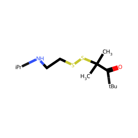 CC(C)NCCSSC(C)(C)C(=O)C(C)(C)C